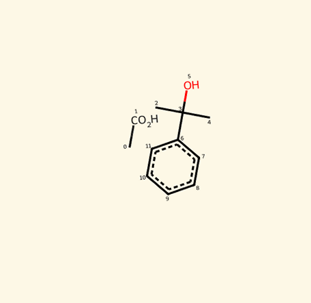 CC(=O)O.CC(C)(O)c1ccccc1